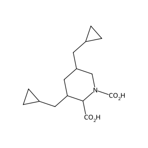 O=C(O)C1C(CC2CC2)CC(CC2CC2)CN1C(=O)O